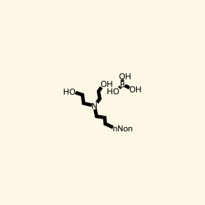 CCCCCCCCCCCCN(CCO)CCO.OB(O)O